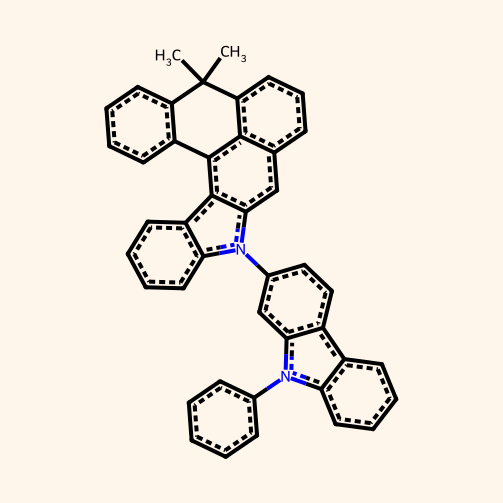 CC1(C)c2ccccc2-c2c3c1cccc3cc1c2c2ccccc2n1-c1ccc2c3ccccc3n(-c3ccccc3)c2c1